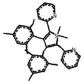 Cc1cc(C)c(C2=C(c3ccccn3)[Si](C)(C)C(c3ccccn3)=C2c2c(C)cc(C)cc2C)c(C)c1